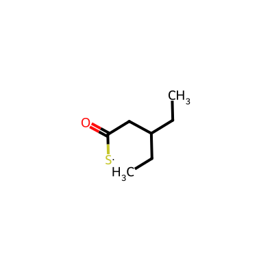 CCC(CC)CC(=O)[S]